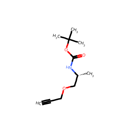 C#CCOC[C@@H](C)NC(=O)OC(C)(C)C